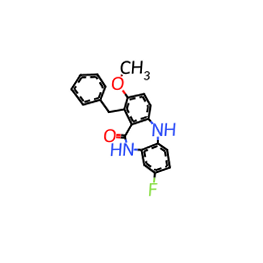 COc1ccc2c(c1Cc1ccccc1)C(=O)Nc1cc(F)ccc1N2